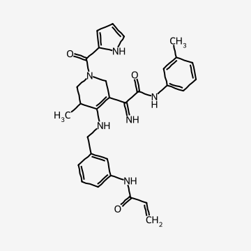 C=CC(=O)Nc1cccc(CNC2=C(C(=N)C(=O)Nc3cccc(C)c3)CN(C(=O)c3ccc[nH]3)CC2C)c1